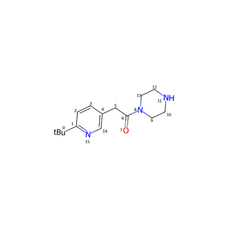 CC(C)(C)c1ccc(CC(=O)N2CCNCC2)cn1